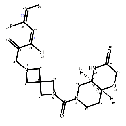 C=C(CN1CC2(C1)CN(C(=O)N1CC[C@@H]3OCC(=O)N[C@@H]3C1)C2)/C(Cl)=C\C(F)=C/C